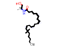 C[C@H](CO)NC(=O)CCC/C=C\C/C=C\C/C=C\C/C=C\C(C)(C)CCCCC#N